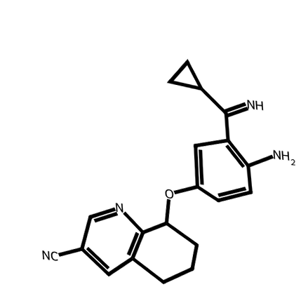 N#Cc1cnc2c(c1)CCCC2Oc1ccc(N)c(C(=N)C2CC2)c1